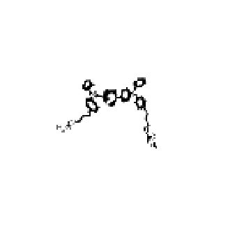 C=CC(=O)OCCCc1ccc(N(c2ccccc2)c2ccc(-c3ccc(N(c4ccccc4)c4ccc(CCCOC)cc4)cc3)cc2)cc1